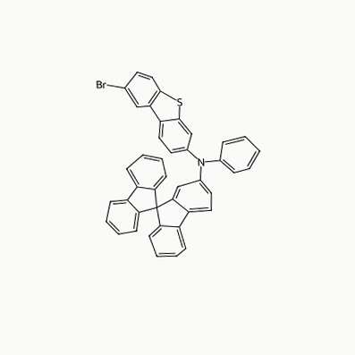 Brc1ccc2sc3cc(N(c4ccccc4)c4ccc5c(c4)C4(c6ccccc6-c6ccccc64)c4ccccc4-5)ccc3c2c1